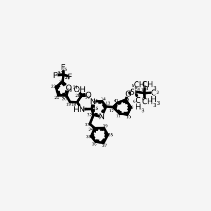 CC(C)(C)[Si](C)(C)Oc1cccc(-c2cnc(NC(Cc3ccc(C(F)(F)F)o3)C(=O)O)c(Cc3ccccc3)n2)c1